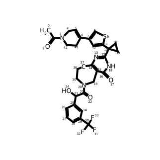 CC(=O)N1CC=C(c2csc(C3(c4nc5c(c(=O)[nH]4)CN(C(=O)C(O)c4cccc(C(F)(F)F)c4)CCC5)CC3)c2)CC1